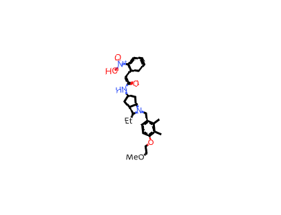 CCC1C2CC(NC(=O)CC3CC=CC=C3[N+](=O)O)CC2N1Cc1ccc(OCCOC)c(C)c1C